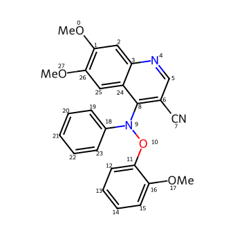 COc1cc2ncc(C#N)c(N(Oc3ccccc3OC)c3ccccc3)c2cc1OC